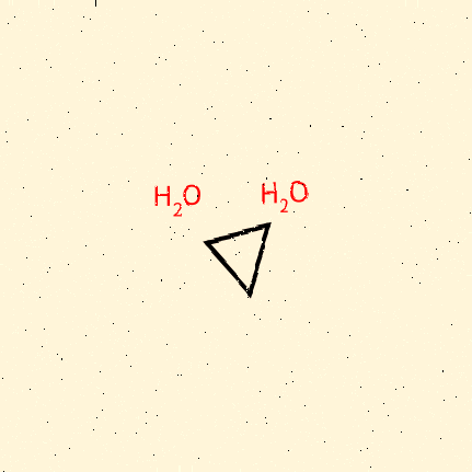 C1CC1.O.O